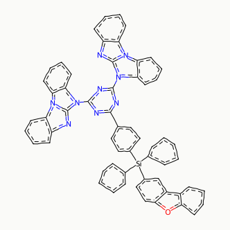 c1ccc([Si](c2ccccc2)(c2ccc(-c3nc(-n4c5ccccc5n5c6ccccc6nc45)nc(-n4c5ccccc5n5c6ccccc6nc45)n3)cc2)c2ccc3oc4ccccc4c3c2)cc1